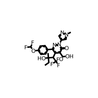 CCC(C)(O)C(c1c(-c2ccc(OC(F)F)cc2)nn(-c2cnn(C)c2)c(=O)c1C(=O)O)C(F)(F)F